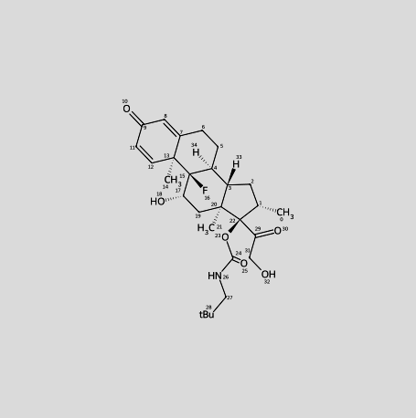 C[C@H]1C[C@H]2[C@@H]3CCC4=CC(=O)C=C[C@]4(C)[C@@]3(F)[C@@H](O)C[C@]2(C)[C@@]1(OC(=O)NCC(C)(C)C)C(=O)CO